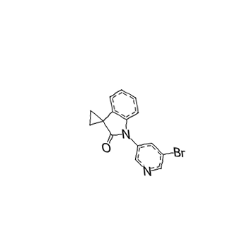 O=C1N(c2cncc(Br)c2)c2ccccc2C12CC2